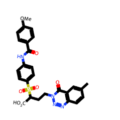 COc1ccc(C(=O)Nc2ccc(S(=O)(=O)C(CCn3nnc4ccc(C)cc4c3=O)C(=O)O)cc2)cc1